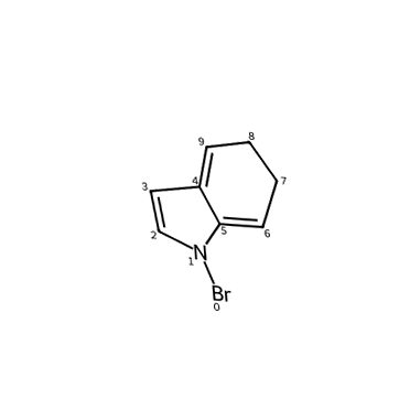 Brn1ccc2c1=CCCC=2